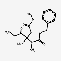 CNC(CC(=O)OC(C)(C)C)(C(=O)CN)N(C)C(=O)OCc1ccccc1